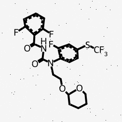 O=C(NC(=O)N(CCOC1CCCCO1)c1ccc(SC(F)(F)F)cc1F)c1c(F)cccc1F